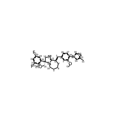 COc1cc(/C=C2\CCCCN3C2=NC[C@]3(CO)c2cc(F)cc(F)c2)ccc1-n1cnc(C)c1